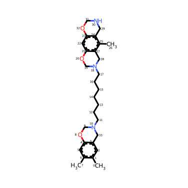 Cc1cc2c(cc1C)OCN(CCCCCCCN1COc3cc4c(c(C)c3C1)CNCO4)C2